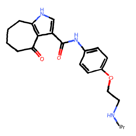 CC(C)NCCOc1ccc(NC(=O)c2c[nH]c3c2C(=O)CCCC3)cc1